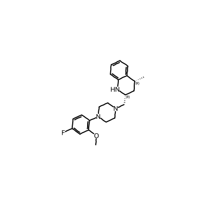 COc1cc(F)ccc1N1CCN(C[C@H]2C[C@@H](C)c3ccccc3N2)CC1